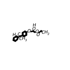 C=CC(=O)OCC(O)COc1ccc(C(C)(C)c2ccccc2)cc1